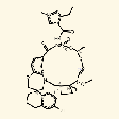 CCc1nn(C)cc1C(=O)N[S@@]1(=O)=NC(=O)c2ccc3c(c2)N(C[C@@H]2CC[C@H]2[C@@H](OC)/C=C/C[C@H](C)C1)C[C@@]1(CCCc2cc(Cl)ccc21)CO3